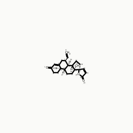 C=C[C@@H]1CC2=CC(=O)CC[C@@H]2[C@H]2CC[C@@]3(C)[C@@H](CC[C@@]34C=CC(=O)O4)[C@@H]21